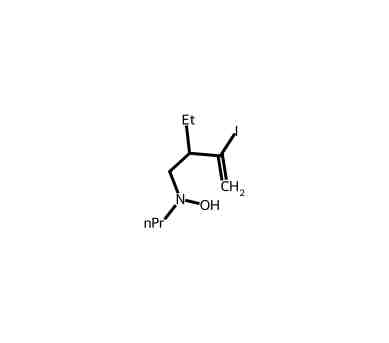 C=C(I)C(CC)CN(O)CCC